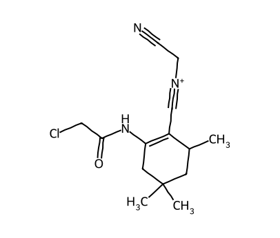 CC1CC(C)(C)CC(NC(=O)CCl)=C1C#[N+]CC#N